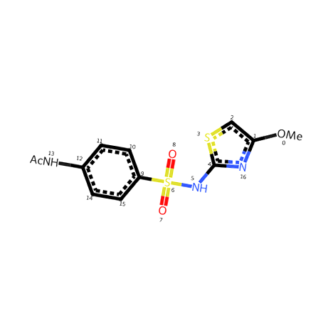 COc1csc(NS(=O)(=O)c2ccc(NC(C)=O)cc2)n1